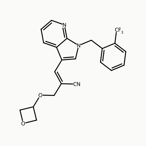 N#C/C(=C\c1cn(Cc2ccccc2C(F)(F)F)c2ncccc12)COC1COC1